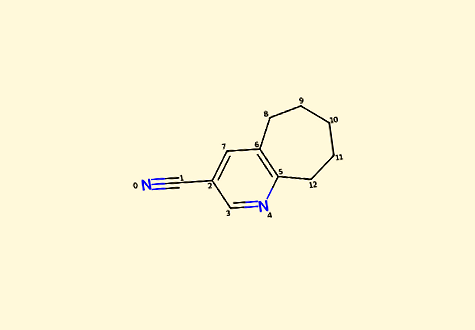 N#Cc1cnc2c(c1)CCCCC2